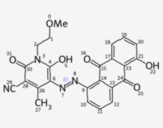 COCCn1c(O)c(/N=N/c2cccc3c2C(=O)c2cccc(O)c2C3=O)c(C)c(C#N)c1=O